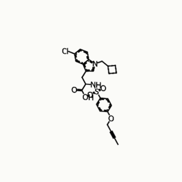 CC#CCOc1ccc(S(=O)(=O)NC(Cc2cn(CC3CCC3)c3ccc(Cl)cc23)C(=O)O)cc1